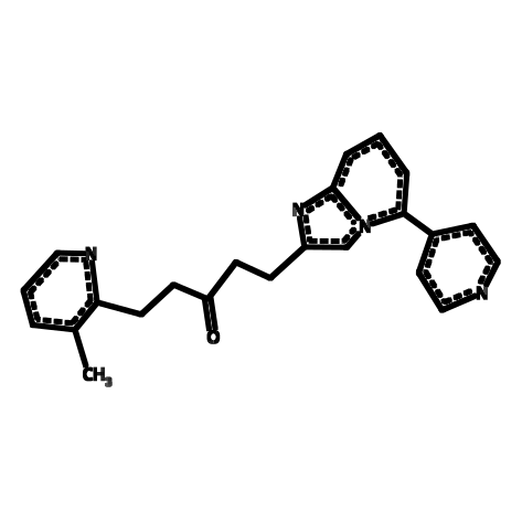 Cc1cccnc1CCC(=O)CCc1cn2c(-c3ccncc3)cccc2n1